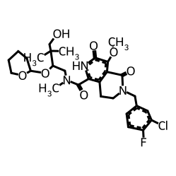 COc1c2c(c(C(=O)N(C)CC(OC3CCCCO3)C(C)(C)CO)[nH]c1=O)CCN(Cc1ccc(F)c(Cl)c1)C2=O